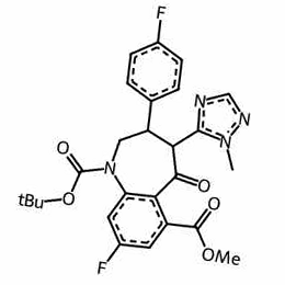 COC(=O)c1cc(F)cc2c1C(=O)C(c1ncnn1C)C(c1ccc(F)cc1)CN2C(=O)OC(C)(C)C